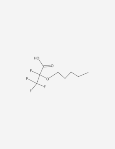 CCCCCOC(F)(C(=O)O)C(F)(F)F